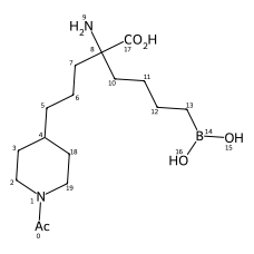 CC(=O)N1CCC(CCCC(N)(CCCCB(O)O)C(=O)O)CC1